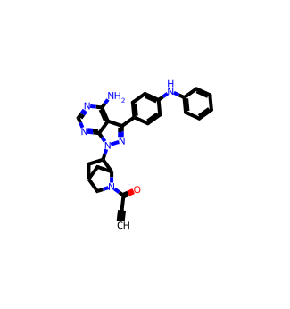 C#CC(=O)N1CC2CC1C(n1nc(-c3ccc(Nc4ccccc4)cc3)c3c(N)ncnc31)C2